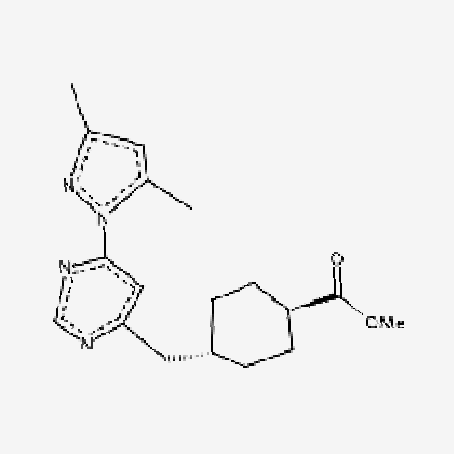 COC(=O)[C@H]1CC[C@H](Cc2cc(-n3nc(C)cc3C)ncn2)CC1